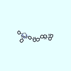 C1=C(c2ccc(-c3ccc4ccc(-c5ccc6ccc(-c7cccc8cccnc78)nc6c5)cc4n3)cc2)/N=C(c2ccccc2)\N=C(\c2ccccc2)CC\1